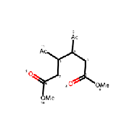 COC(=O)CC(C(C)=O)C(CC(=O)OC)C(C)=O